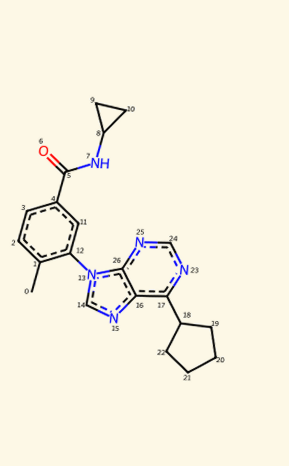 Cc1ccc(C(=O)NC2CC2)cc1-n1cnc2c(C3CCCC3)ncnc21